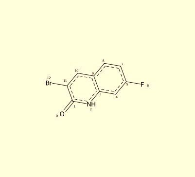 O=c1[nH]c2cc(F)ccc2cc1Br